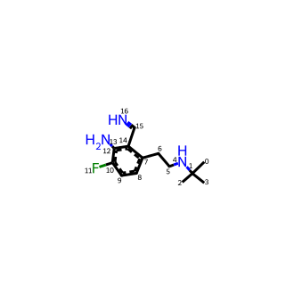 CC(C)(C)NCCc1ccc(F)c(N)c1C=N